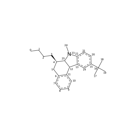 CCCC[C@@H]1Cc2ccccc2C2c3cc(C(C)(C)C)ccc3N(C)C21